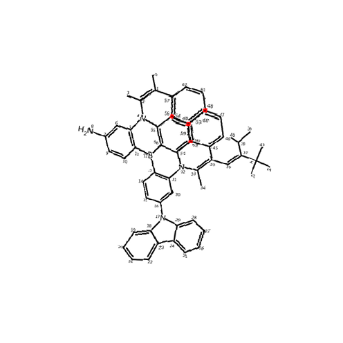 C/C(=C(\C)N1c2cc(N)ccc2B2c3ccc(-n4c5ccccc5c5ccccc54)cc3N(/C(C)=C(/C=C(\C(C)C)C(C)(C)C)c3ccccc3)c3cccc1c32)c1ccccc1